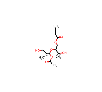 CCCC(=O)OCC(OC(OC(C)=O)[C@H](C)CO)[C@H](C)O